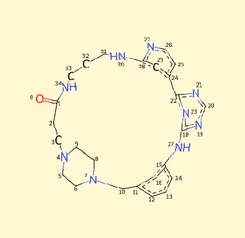 O=C1CCN2CCN(CC2)Cc2cccc(c2)Nc2ncnc(n2)-c2ccnc(c2)NCCCN1